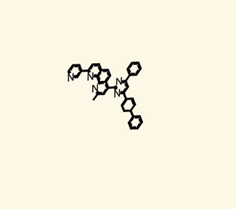 Cc1cc(-c2nc(C3=CCC(c4ccccc4)C=C3)cc(-c3ccccc3)n2)c2ccc3ccc(-c4cccnc4)nc3c2n1